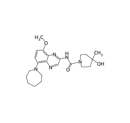 COc1ccc(N2CCCCCC2)c2ncc(NC(=O)N3CCC(C)(O)CC3)nc12